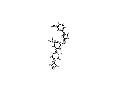 Fc1cccc(-c2cnc(Nc3cc(C(F)F)cc(N4CCN(C5COC5)CC4)n3)o2)c1